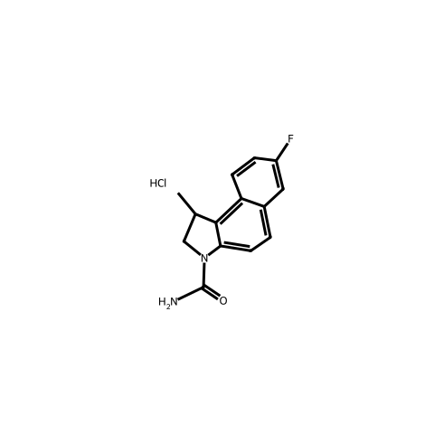 CC1CN(C(N)=O)c2ccc3cc(F)ccc3c21.Cl